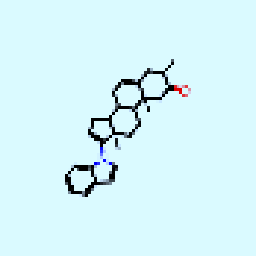 C[C@@H]1CC2=CCC3C(CC[C@]4(C)C(n5ccc6ccccc65)=CCC34)[C@@]2(C)CC1=O